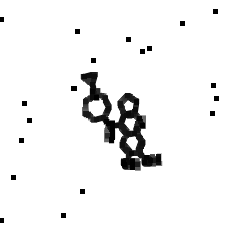 Oc1cc2nc3c(c(N[C@H]4CCCN(C5CC5)CC4)c2cc1O)CCC3